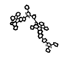 c1ccc(-c2cc(-c3ccc(-c4ccc5cc6c(cc5c4)C4(c5ccccc5-c5ccccc54)c4c-6c5ccccc5c5cc(-c6cccc(-c7cc(-c8ccccc8)nc(-c8ccc9cc%10c(cc9c8)C8(c9ccccc9-c9ccccc98)c8c-%10c9ccccc9c9ccccc89)n7)c6)ccc45)cc3)nc(-c3ccccc3)n2)cc1